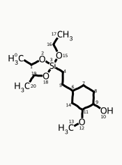 CCO[Si](CCC1CCC(O)C(OC)C1)(OCC)OCC